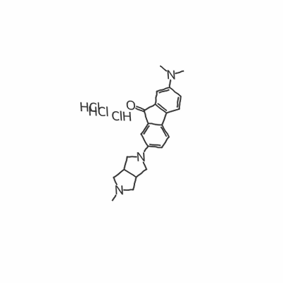 CN1CC2CN(c3ccc4c(c3)C(=O)c3cc(N(C)C)ccc3-4)CC2C1.Cl.Cl.Cl